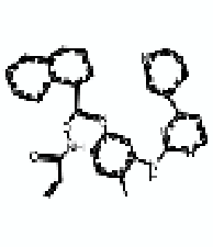 C=CC(=O)NOC(=Nc1ccc(C)c(Nc2nccc(-c3cccnc3)n2)c1)c1cccc2ccccc12